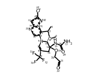 COC(C)c1c(N2C=C(C(F)(F)F)CC(NC(N)=O)(OCC=O)C2)cnc2cc(Cl)nn12